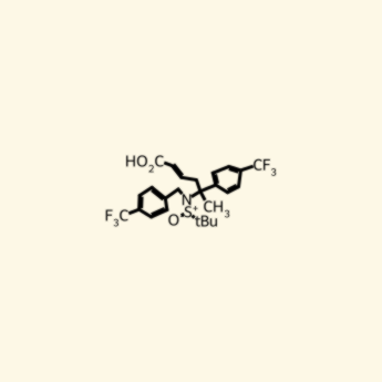 CC(C/C=C/C(=O)O)(c1ccc(C(F)(F)F)cc1)N(Cc1ccc(C(F)(F)F)cc1)[S+]([O-])C(C)(C)C